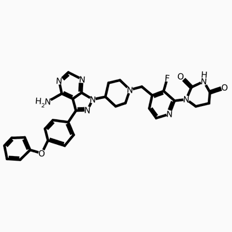 Nc1ncnc2c1c(-c1ccc(Oc3ccccc3)cc1)nn2C1CCN(Cc2ccnc(N3CCC(=O)NC3=O)c2F)CC1